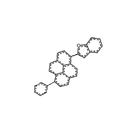 c1ccc(-c2ccc3ccc4c(-c5cc6ccccc6o5)ccc5ccc2c3c54)cc1